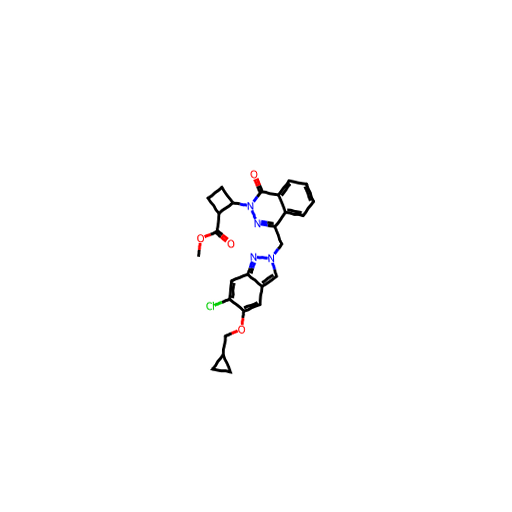 COC(=O)C1CCC1n1nc(Cn2cc3cc(OCC4CC4)c(Cl)cc3n2)c2ccccc2c1=O